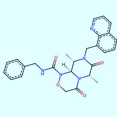 C[C@H]1[C@@H]2N(C(=O)NCc3ccccc3)OCC(=O)N2[C@@H](C)C(=O)N1Cc1cccc2cccnc12